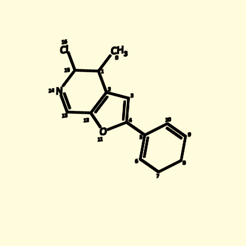 CC1c2cc(C3=CCCC=C3)oc2C=NC1Cl